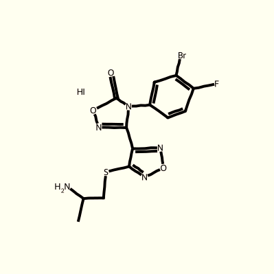 CC(N)CSc1nonc1-c1noc(=O)n1-c1ccc(F)c(Br)c1.I